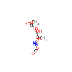 COc1cc(/C=C/C(=O)/C=C(O)/C=C/c2ccc(OCc3cn(CCOc4ccc(C=O)cc4)nn3)c(OC)c2)ccc1O